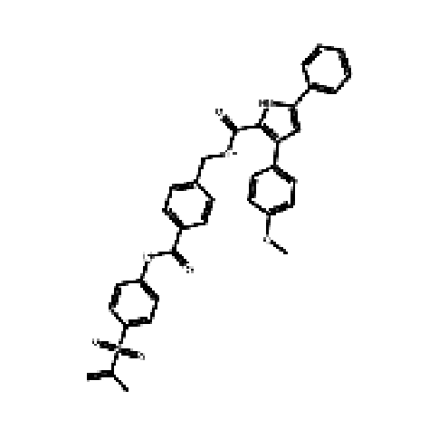 C=C(C)S(=O)(=O)c1ccc(NC(=O)c2ccc(CNC(=O)c3[nH]c(-c4ccccc4)cc3-c3ccc(OC)cc3)cc2)cc1